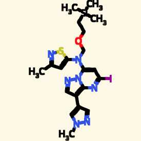 Cc1cc(N(COCC[Si](C)(C)C)c2cc(I)nc3c(-c4cnn(C)c4)cnn23)sn1